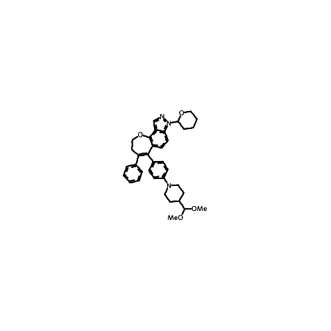 COC(OC)C1CCN(c2ccc(C3=C(c4ccccc4)CCOc4c3ccc3c4cnn3C3CCCCO3)cc2)CC1